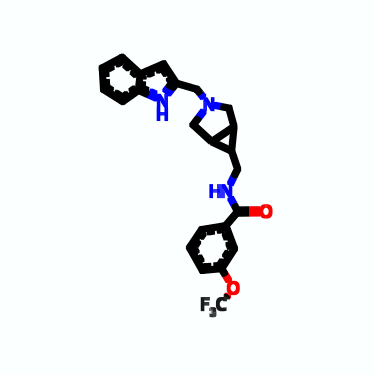 O=C(NCC1C2CN(Cc3cc4ccccc4[nH]3)CC12)c1cccc(OC(F)(F)F)c1